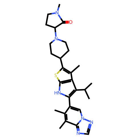 Cc1c(-c2[nH]c3sc(C4CCN(C5CCN(C)C5=O)CC4)c(C)c3c2C(C)C)cn2ncnc2c1C